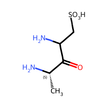 C[C@H](N)C(=O)C(N)CS(=O)(=O)O